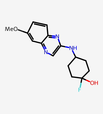 COc1ccc2nc(NC3CCC(O)(F)CC3)cnc2c1